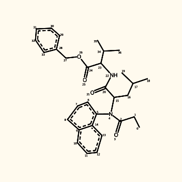 CCC(=O)N(c1cccc2ccccc12)C(CC(C)C)C(=O)NC(C(=O)OCc1ccccc1)C(C)C